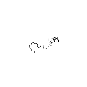 CC/C=C\C/C=C\C/C=C\C/C=C\C/C=C\C/C=C\CCCOCC[N+](C)(C)C